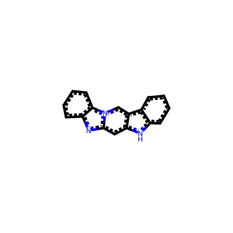 c1ccc2c(c1)nc1cc3[nH]c4ccccc4c3cn12